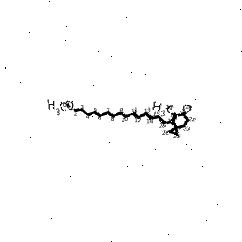 COCCCCCCCCCCCCCCCC1=C(C)C(=O)CCC12CC2